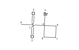 CS(=O)(=O)C1(Br)CCC1